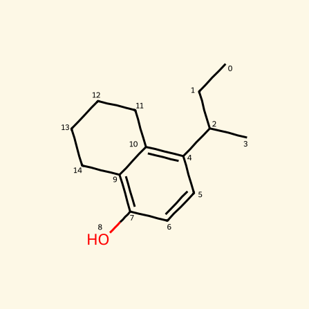 CCC(C)c1ccc(O)c2c1CCCC2